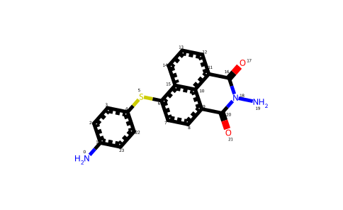 Nc1ccc(Sc2ccc3c4c(cccc24)C(=O)N(N)C3=O)cc1